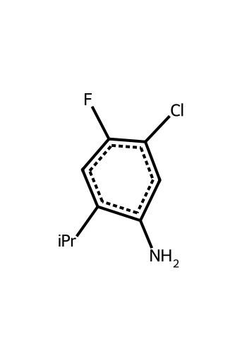 CC(C)c1cc(F)c(Cl)cc1N